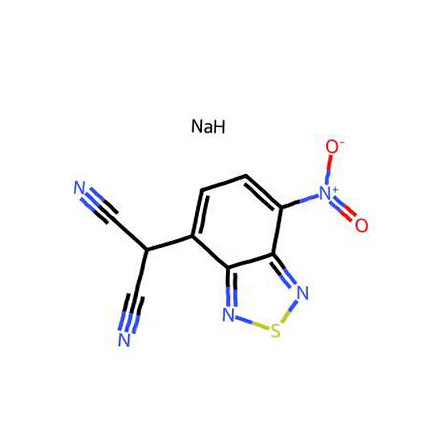 N#CC(C#N)c1ccc([N+](=O)[O-])c2nsnc12.[NaH]